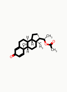 CC(=O)O[C@@H](C)[C@H]1CC[C@H]2[C@@H]3CCC4=CC(=O)C=C[C@]4(C)[C@H]3CC[C@]12C